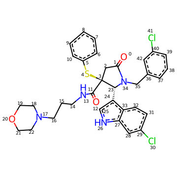 O=C1C[C@@](Sc2ccccc2)(C(=O)NCCCN2CCOCC2)[C@@H](c2c[nH]c3cc(Cl)ccc23)N1Cc1cccc(Cl)c1